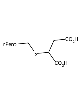 CCCCCCSC(CC(=O)O)C(=O)O